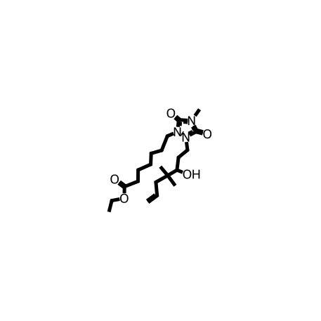 C=CCC(C)(C)C(O)CCn1c(=O)n(C)c(=O)n1CCCCCCC(=O)OCC